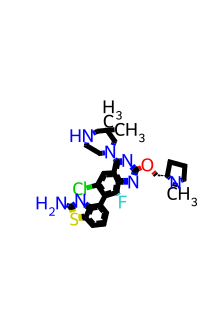 CN1CCC[C@H]1COc1nc(N2CCNCC(C)(C)C2)c2cc(Cl)c(-c3cccc4sc(N)nc34)c(F)c2n1